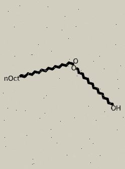 CCCCCCCCC=CCCCCCCCCCCCCCC(=O)OCCCCCCCCCCCCCCCO